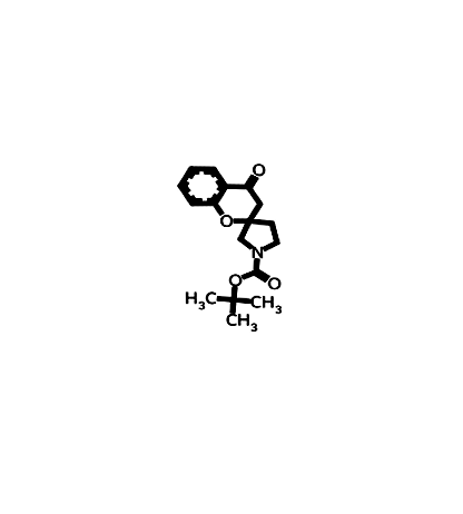 CC(C)(C)OC(=O)N1CCC2(CC(=O)c3ccccc3O2)C1